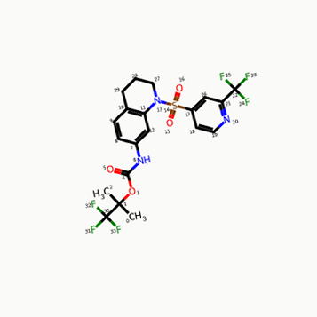 CC(C)(OC(=O)Nc1ccc2c(c1)N(S(=O)(=O)c1ccnc(C(F)(F)F)c1)CCC2)C(F)(F)F